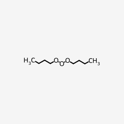 CCCCOOOCCCC